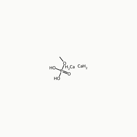 COP(=O)(O)O.[CaH2].[CaH2]